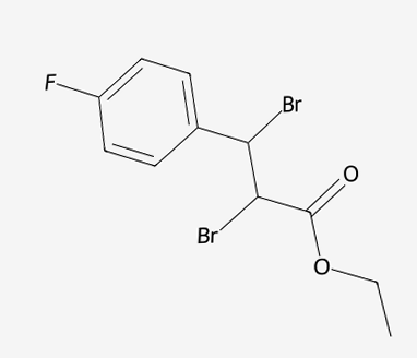 CCOC(=O)C(Br)C(Br)c1ccc(F)cc1